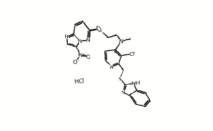 CN(CCOc1ccc2ncc([N+](=O)[O-])n2n1)c1ccnc(CSc2nc3ccccc3[nH]2)c1Cl.Cl